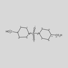 O=C(O)C1CCN(S(=O)(=O)N2CCC(C(=O)O)CC2)CC1